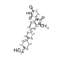 Cn1c(=O)n(C2CCC(=O)NC2=O)c2ccc(C3CCN(C4CCN(C(=O)O)CC4)CC3)cc21